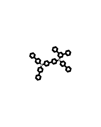 c1ccc(-c2ccc(N(c3ccc(-c4ccccc4)cc3)c3ccc(-c4ccc(N(c5ccc(-c6ccccc6)cc5)c5cc(-c6ccccc6)cc(-c6ccccc6)c5)cc4)cc3)cc2)cc1